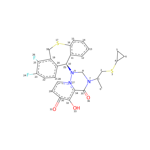 CC(CSC1CC1)N1CN([C@@H]2c3ccccc3SCc3c2ccc(F)c3F)n2ccc(=O)c(O)c2C1=O